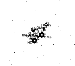 COC(=O)c1ocnc1-n1nc(C(=Nc2ccc(C#N)c(CNC(=O)OC(C)(C)C)c2)c2cc(OC)cc(OCCO[Si](C(C)C)(C(C)C)C(C)C)c2F)[nH]c1=O